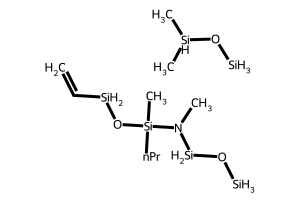 C=C[SiH2]O[Si](C)(CCC)N(C)[SiH2]O[SiH3].C[SiH](C)O[SiH3]